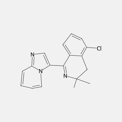 CC1(C)Cc2c(Cl)cccc2C(c2cnc3ccccn23)=N1